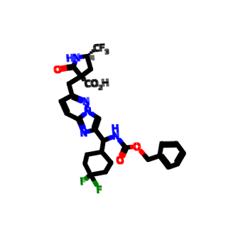 O=C(NC(c1cn2nc(CC3(C(=O)O)C[C@@H](C(F)(F)F)NC3=O)ccc2n1)C1CCC(F)(F)CC1)OCc1ccccc1